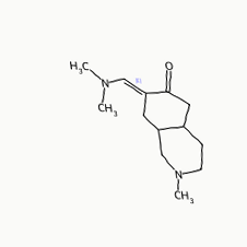 CN(C)/C=C1\CC2CN(C)CCC2CC1=O